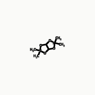 C[Si]1(C)OC2O[Si](C)(C)OC2O1